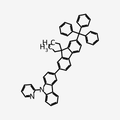 CCC1(CC)c2cc(-c3ccc4c(c3)c3ccccc3n4-c3ccccn3)ccc2-c2ccc(C(c3ccccc3)(c3ccccc3)c3ccccc3)cc21